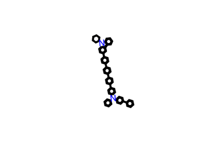 c1ccc(-c2ccc(N(c3ccccc3)c3ccc(-c4ccc(-c5ccc(-c6ccc(-c7ccc8c(c7)c7ccccc7n8C7CCCCC7)cc6)cc5)cc4)cc3)cc2)cc1